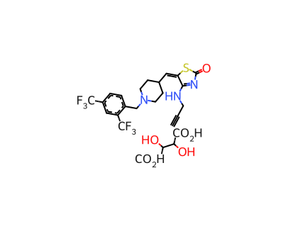 C#CCNC1=NC(=O)SC1=CC1CCN(Cc2ccc(C(F)(F)F)cc2C(F)(F)F)CC1.O=C(O)C(O)C(O)C(=O)O